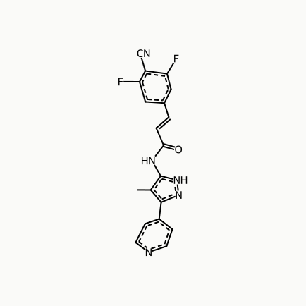 Cc1c(-c2ccncc2)n[nH]c1NC(=O)C=Cc1cc(F)c(C#N)c(F)c1